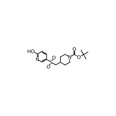 CC(C)(C)OC(=O)N1CCC(CS(=O)(=O)c2ccc(O)nc2)CC1